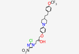 O=[N+]([O-])c1cn(CC[C@H](O)COc2ccc(N3CCC(CCc4ccc(OC(F)(F)F)cc4)CC3)cc2)c(Cl)n1